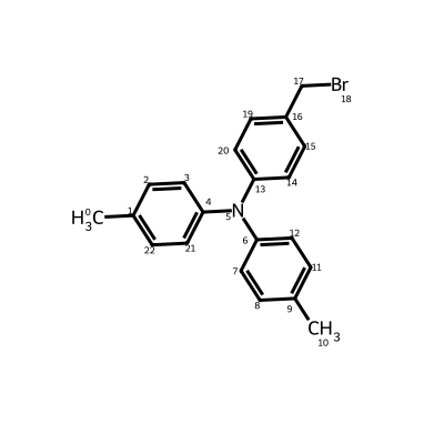 Cc1ccc(N(c2ccc(C)cc2)c2ccc(CBr)cc2)cc1